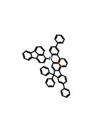 c1ccc(-c2ccc(N(c3ccc4c(c3)C(c3ccccc3)(c3ccccc3)c3cc(-c5ccccc5)ccc3-4)c3ccc4c5c(cccc35)-c3ccccc3-4)c(-c3ccccc3)c2)cc1